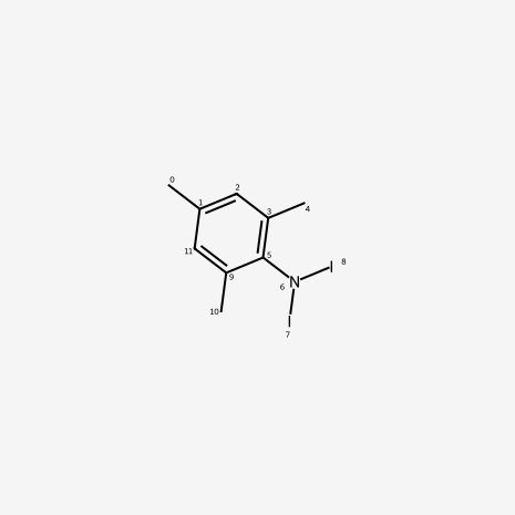 Cc1cc(C)c(N(I)I)c(C)c1